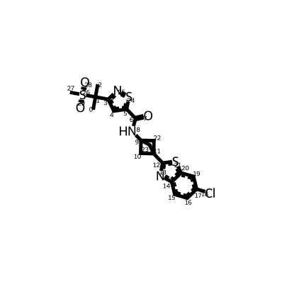 CC(C)(c1cc(C(=O)NC23CC(c4nc5ccc(Cl)cc5s4)(C2)C3)sn1)S(C)(=O)=O